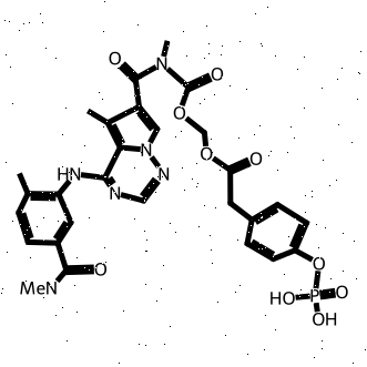 CNC(=O)c1ccc(C)c(Nc2ncnn3cc(C(=O)N(C)C(=O)OCOC(=O)Cc4ccc(OP(=O)(O)O)cc4)c(C)c23)c1